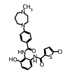 CN1CCCN(c2ccc(C(=O)Nc3c(O)cccc3NC(=O)c3ccc(Cl)s3)cc2)CC1